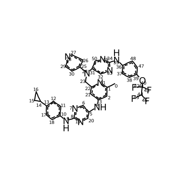 Cc1cc(Nc2cnc(Nc3ccc(C4CC4)cc3)nc2)cc(CN(c2ccncc2)c2cnc(Nc3ccc(OC(F)(F)C(F)F)cc3)nc2)n1